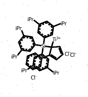 CC(C)c1cc(C(C)C)cc([Si](c2cc(C(C)C)cc(C(C)C)c2)(c2cc(C(C)C)cc(C(C)C)c2)[C]2([Ti+3])C=CC=C2c2ccccc2)c1.[Cl-].[Cl-].[Cl-]